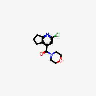 O=C(c1cc(Cl)nc2c1CCC2)N1CCOCC1